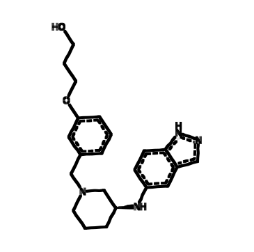 OCCCOc1cccc(CN2CCC[C@H](Nc3ccc4[nH]ncc4c3)C2)c1